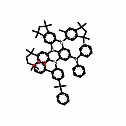 Cc1cc2c(cc1N1c3cc4c(cc3B3c5cc6c(cc5N(c5ccc(C(C)(C)c7ccccc7)cc5-c5ccccc5)c5cc(N(c7ccccc7)c7ccccc7)cc1c53)C(C)(C)CCC6(C)C)C(C)(C)CC4(C)C)C(C)(C)CC2(C)C